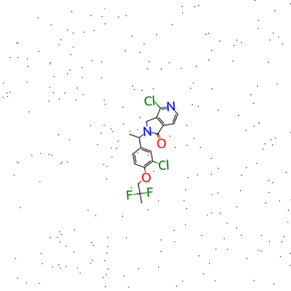 CC(c1ccc(OCC(C)(F)F)c(Cl)c1)N1Cc2c(ccnc2Cl)C1=O